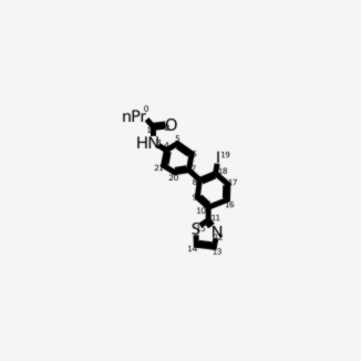 CCCC(=O)Nc1ccc(-c2cc(-c3nccs3)ccc2I)cc1